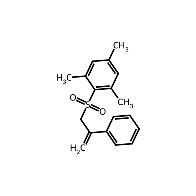 C=C(CS(=O)(=O)c1c(C)cc(C)cc1C)c1ccccc1